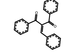 O=C(C(=Cc1ccccc1)C(=O)c1ccccc1)c1ccccc1